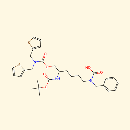 CC(C)(C)OC(=O)NC(CCCCN(Cc1ccccc1)C(=O)O)COC(=O)N(Cc1cccs1)Cc1cccs1